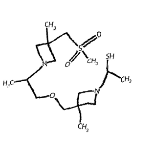 CC(S)N1CC(C)(COCC(C)N2CC(C)(CS(C)(=O)=O)C2)C1